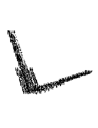 O=S(=O)(O)O.O=S(=O)(O)O.O=S(=O)(O)O.O=S(=O)(O)O.O=S(=O)(O)O.O=S(=O)(O)O.O=S(=O)(O)O.O=S(=O)(O)O.O=S(=O)(O)O.O=S(=O)(O)O.O=S(=O)(O)O.O=S(=O)(O)O.O=S(=O)(O)O.O=S(=O)(O)O.O=S(=O)(O)O.O=S(=O)(O)O.O=S(=O)(O)O.O=S(=O)(O)O.O=S(=O)(O)O.O=S(=O)(O)O.O=S(=O)(O)O.[Na+].[Na+].[Na+].[Na+].[Na+].[Na+].[Na+].[Na+].[Na+].[Na+].[Na+].[Na+].[Na+].[Na+].[Na+].[Na+].[Na+].[Na+].[Na+].[Na+].[Na+].[Na+].[Na+].[Na+].[Na+].[Na+].[Na+].[Na+].[Na+].[Na+].[Na+].[Na+].[Na+].[Na+].[Na+].[Na+].[Na+].[Na+].[Na+].[Na+].[Na+].[Na+].[Na+]